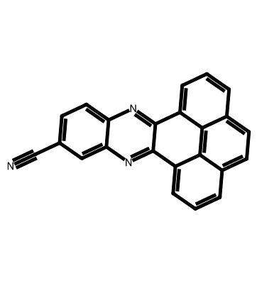 N#Cc1ccc2nc3c4cccc5ccc6cccc(c3nc2c1)c6c54